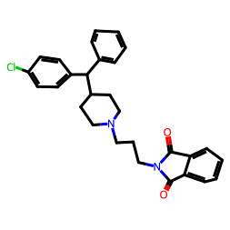 O=C1c2ccccc2C(=O)N1CCCN1CCC(C(c2ccccc2)c2ccc(Cl)cc2)CC1